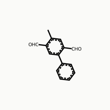 Cc1cc(C=O)c(-c2ccccc2)cc1C=O